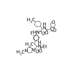 CCC(=O)N[C@@H](C(=O)N1CCN(C)CC1)[C@@H](C)c1ccc(NC(=O)[C@@H](NC(=O)c2coc3c2COC3)C2CCC(C)CC2)c(F)c1